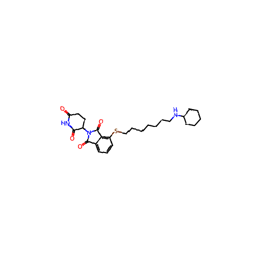 O=C1CCC(N2C(=O)c3cccc(SCCCCCCCNC4CCCCC4)c3C2=O)C(=O)N1